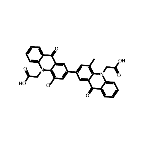 Cc1cc(-c2cc(Cl)c3c(c2)c(=O)c2ccccc2n3CC(=O)O)cc2c(=O)c3ccccc3n(CC(=O)O)c12